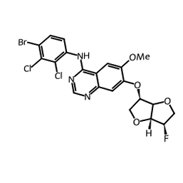 COc1cc2c(Nc3ccc(Br)c(Cl)c3Cl)ncnc2cc1O[C@@H]1CO[C@@H]2C1OC[C@H]2F